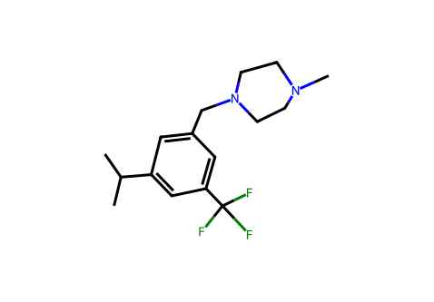 CC(C)c1cc(CN2CCN(C)CC2)cc(C(F)(F)F)c1